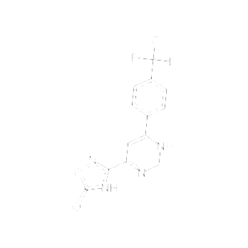 O=c1[nH]c(C2=NCNC(c3ccc(C(F)(F)F)cc3)=C2)no1